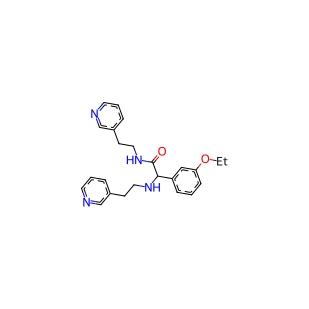 CCOc1cccc(C(NCCc2cccnc2)C(=O)NCCc2cccnc2)c1